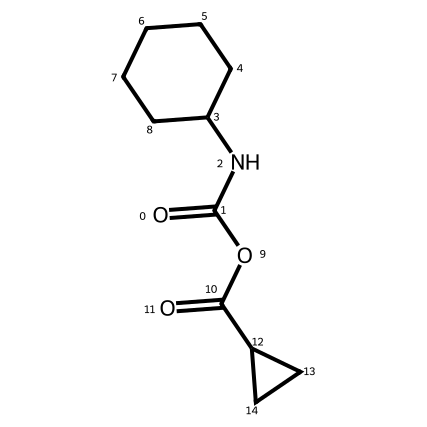 O=C(NC1CCCCC1)OC(=O)C1CC1